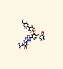 CCc1ccc(-c2ccc(Oc3cc(-c4nc([C@H]5CC(=O)N(C6CC6)C5)no4)ccc3Cn3ccccc3=O)cc2)nn1